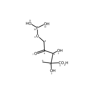 CC(O)(C(=O)O)C(O)C(=O)COP(O)O